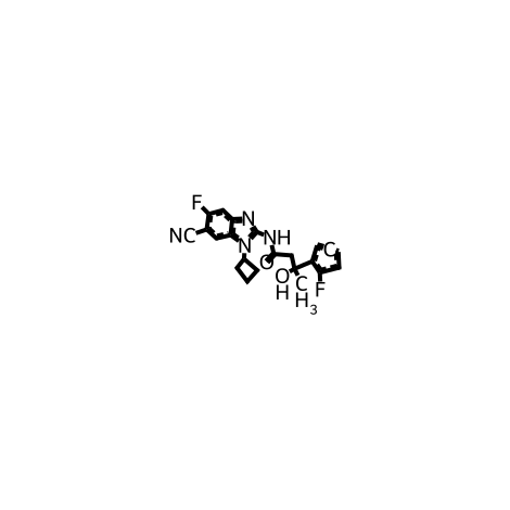 CC(O)(CC(=O)Nc1nc2cc(F)c(C#N)cc2n1C1CCC1)c1ccccc1F